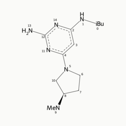 CCC(C)Nc1cc(N2CC[C@@H](NC)C2)nc(N)n1